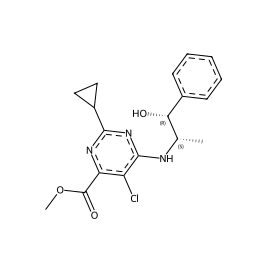 COC(=O)c1nc(C2CC2)nc(N[C@@H](C)[C@H](O)c2ccccc2)c1Cl